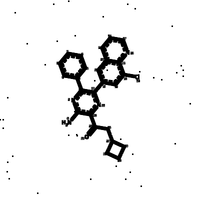 Nc1nc(-c2ccccc2)c(-c2cc(Cl)c3ncccc3c2)nc1C(=O)CC1CCC1